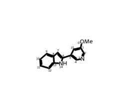 COc1cncc(-c2cc3ccccc3[nH]2)c1